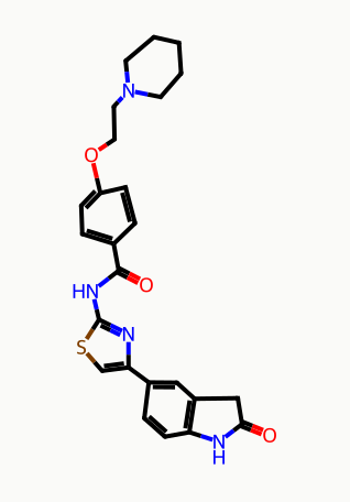 O=C1Cc2cc(-c3csc(NC(=O)c4ccc(OCCN5CCCCC5)cc4)n3)ccc2N1